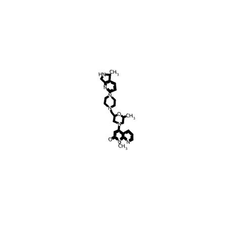 CC1CN(c2cc(=O)n(C)c3ncccc23)CC(CN2CCN(c3ccc4c(n3)CN[C@@H]4C)CC2)O1